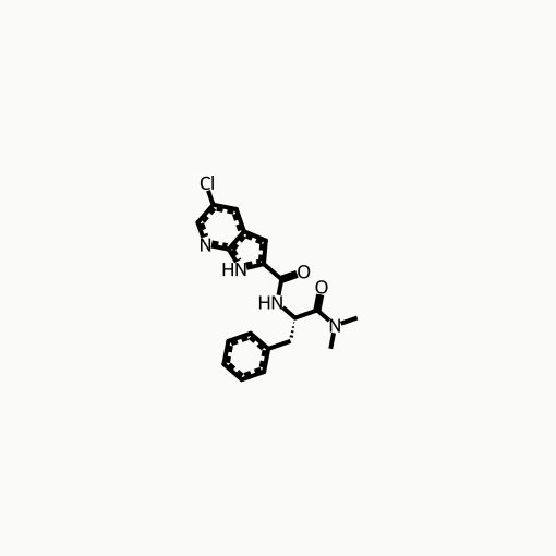 CN(C)C(=O)[C@H](Cc1ccccc1)NC(=O)c1cc2cc(Cl)cnc2[nH]1